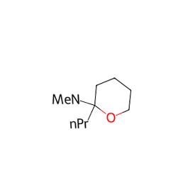 CCCC1(NC)CCCCO1